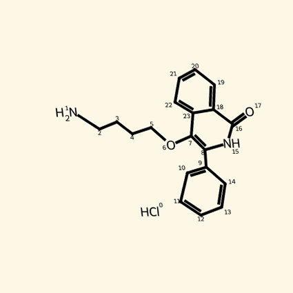 Cl.NCCCCOc1c(-c2ccccc2)[nH]c(=O)c2ccccc12